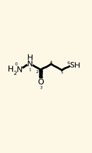 NNC(=O)CCS